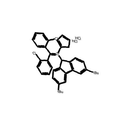 CC(C)(C)c1ccc2c(c1)-c1cc(C(C)(C)C)ccc1[CH]2[Zr]([C]1=CC=CC1)=[C](c1ccccc1Cl)c1ccccc1Cl.Cl.Cl